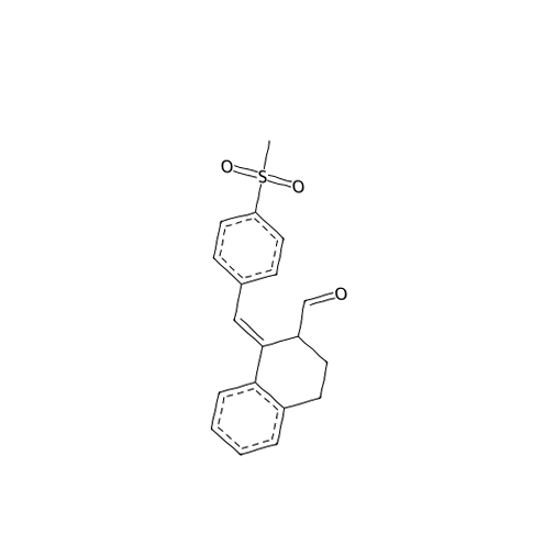 CS(=O)(=O)c1ccc(C=C2c3ccccc3CCC2C=O)cc1